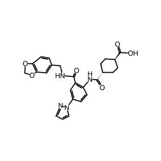 O=C(NCc1ccc2c(c1)OCO2)c1cc(-n2cccn2)ccc1NC(=O)[C@H]1CC[C@H](C(=O)O)CC1